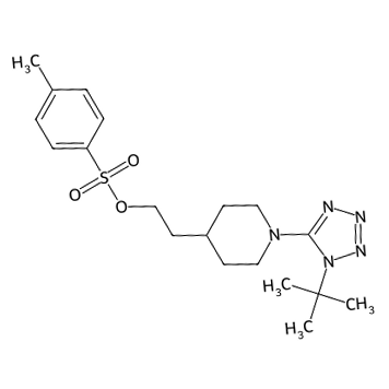 Cc1ccc(S(=O)(=O)OCCC2CCN(c3nnnn3C(C)(C)C)CC2)cc1